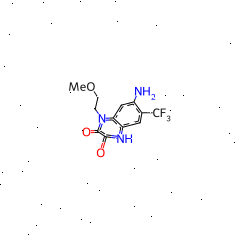 COCCn1c(=O)c(=O)[nH]c2cc(C(F)(F)F)c(N)cc21